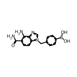 NC(=O)c1ccc2c(ncn2Cc2ccc(B(O)O)cc2)c1N